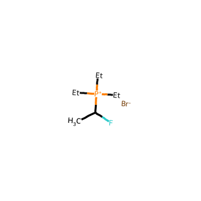 CC[P+](CC)(CC)C(C)F.[Br-]